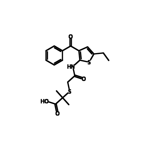 CCc1cc(C(=O)c2ccccc2)c(NC(=O)CSC(C)(C)C(=O)O)s1